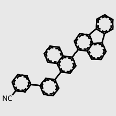 N#Cc1cccc(-c2cccc(-c3ccc(-c4ccc5c6c(cccc46)-c4ccccc4-5)c4ccccc34)c2)c1